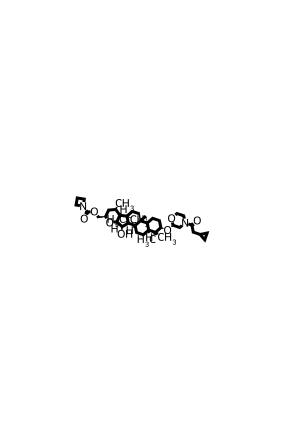 C[C@@H]1C[C@H](COC(=O)N2CCC2)O[C@H]2[C@H]1[C@@]1(C)CC[C@@]34C[C@@]35CC[C@H](O[C@H]3CN(C(=O)CC6CC6)CCO3)C(C)(C)[C@@H]5CC[C@H]4[C@]1(C)[C@H]2O